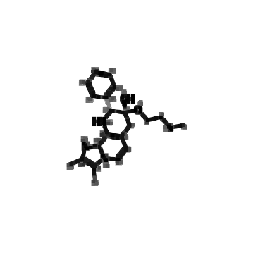 CSCCO[C@]1(O)Cc2ccn3c(C)c(C)nc3c2N[C@@H]1c1ccccc1